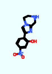 O=[N+]([O-])c1ccc(-c2cn3c(n2)CNCC3)c(O)c1